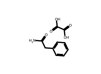 NC(=O)Cc1ccccc1.O=C(O)C(=O)O